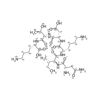 CC[C@H](C)[C@H](NC(=O)[C@@H](N)CC(N)=O)C(=O)N[C@@H](CCCCN)C(=O)N[C@@H](CC(=O)O)C(=O)N[C@H](C(=O)N[C@@H](CCCCN)C(=O)O)[C@@H](C)O